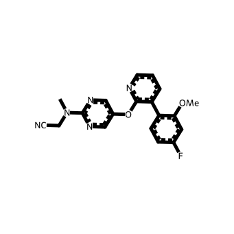 COc1cc(F)ccc1-c1cccnc1Oc1cnc(N(C)CC#N)nc1